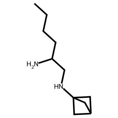 CCCCC(N)CNC12CC(C1)C2